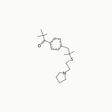 CC(C)(Cc1ccc(C(=O)C(C)(C)C)cc1)SCCN1CCCC1